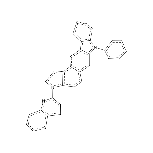 c1ccc(-n2c3ccccc3c3cc4c(ccc5c4ccn5-c4ccc5ccccc5n4)cc32)cc1